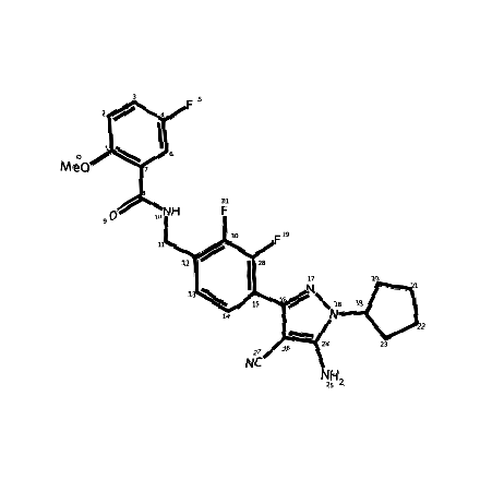 COc1ccc(F)cc1C(=O)NCc1ccc(-c2nn(C3CCCC3)c(N)c2C#N)c(F)c1F